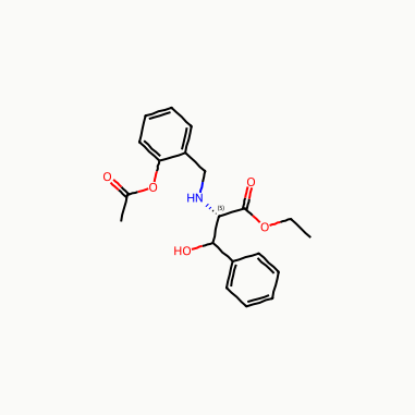 CCOC(=O)[C@@H](NCc1ccccc1OC(C)=O)C(O)c1ccccc1